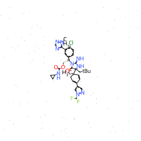 Cn1ncnc1-c1cc([C@@H](COC(=O)NC2CC2)N2C(=N)N[C@](CC(C)(C)C)(C3(C)C=CC(c4cnn(C(F)F)c4)=CC3)C2=O)ccc1Cl